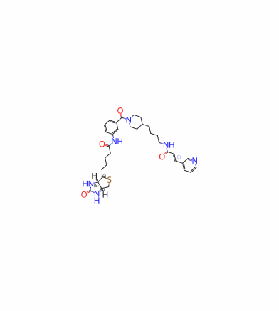 O=C(/C=C/c1cccnc1)NCCCCC1CCN(C(=O)c2cccc(NC(=O)CCCC[C@@H]3SC[C@@H]4NC(=O)N[C@@H]43)c2)CC1